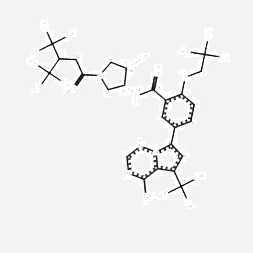 Nc1ncnn2c(-c3ccc(OCC(F)(F)F)c(C(=O)N[C@@H]4CN(C(=O)CC(C(F)(F)F)C(F)(F)F)C[C@@H]4F)c3)cc(C(F)(F)F)c12